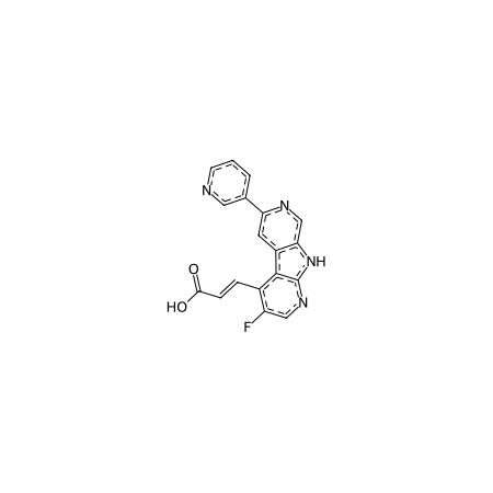 O=C(O)C=Cc1c(F)cnc2[nH]c3cnc(-c4cccnc4)cc3c12